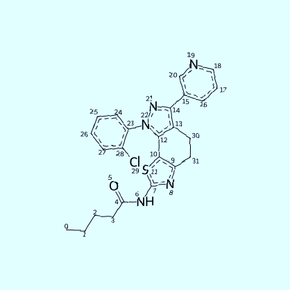 CCCCC(=O)Nc1nc2c(s1)-c1c(c(-c3cccnc3)nn1-c1ccccc1Cl)CC2